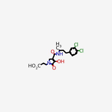 CC(CCc1ccc(Cl)c(Cl)c1)NC(=O)C1=C(O)C(=O)N(CCC(=O)O)C1